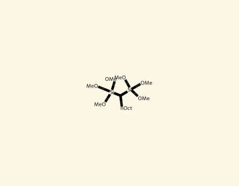 CCCCCCCCC([Si](OC)(OC)OC)[Si](OC)(OC)OC